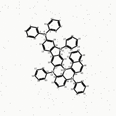 c1ccc(N(c2ccccc2)c2ccc3c4cc5c(cc4n(-c4ccccc4)c3c2)B2c3c(cccc3N(c3ccccc3)c3ccc4ccccc4c32)N5c2ccccc2)cc1